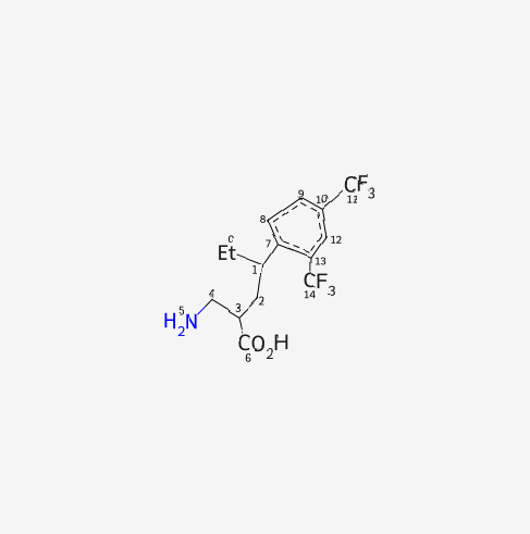 CCC(CC(CN)C(=O)O)c1ccc(C(F)(F)F)cc1C(F)(F)F